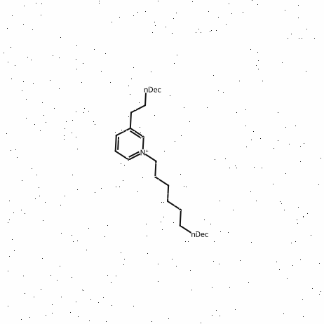 CCCCCCCCCCCCCCCC[n+]1cccc(CCCCCCCCCCCC)c1